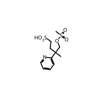 CC(CCS(=O)(=O)O)(COS(C)(=O)=O)c1ccccn1